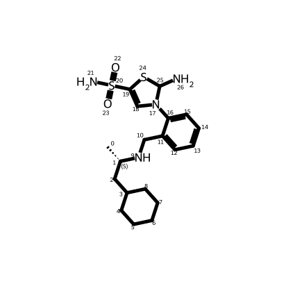 C[C@@H](CC1CCCCC1)NCc1ccccc1N1C=C(S(N)(=O)=O)SC1N